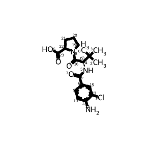 CC(C)(C)[C@H](NC(=O)c1ccc(N)c(Cl)c1)C(=O)N1CCCC1C(=O)O